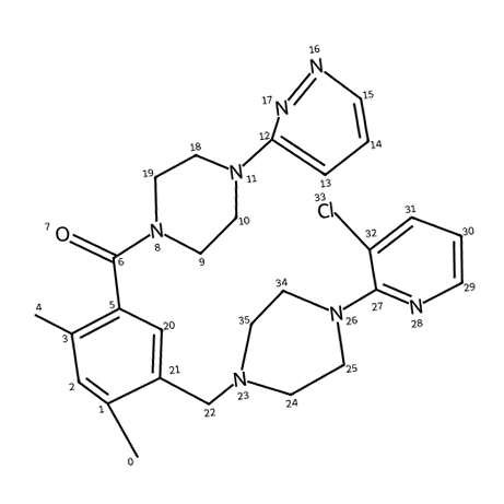 Cc1cc(C)c(C(=O)N2CCN(c3cccnn3)CC2)cc1CN1CCN(c2ncccc2Cl)CC1